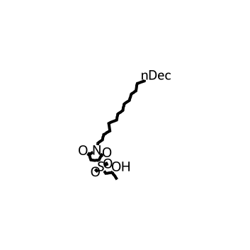 CCCCCCCCCCCCCCCCCCCCCCCCN1C(=O)CC(S(=O)(=O)CC(C)O)C1=O